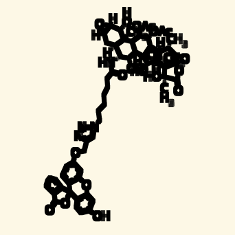 CC(=O)O[C@H]1C2C([C@@H](O)[C@H](NC(=O)CCCCCCn3cc(COc4ccc5c(c4)Oc4cc(O)ccc4C54OC(=O)c5ccccc54)nn3)[C@H]3C[C@@H]4O[C@@H]4[C@H](O)[C@]23C)[C@@H]2[C@@H](O)[C@@H]3[C@H]([C@H](C)[C@H]4O[C@]45OC(=O)[C@@](C)(O)[C@]35C)[C@@]2(C)[C@H]1OC(C)=O